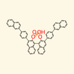 O=P1(O)Oc2c(-c3ccc(-c4ccc5ccccc5c4)cc3)cc3ccccc3c2-c2c(c(-c3ccc(-c4ccc5ccccc5c4)cc3)cc3ccccc23)O1